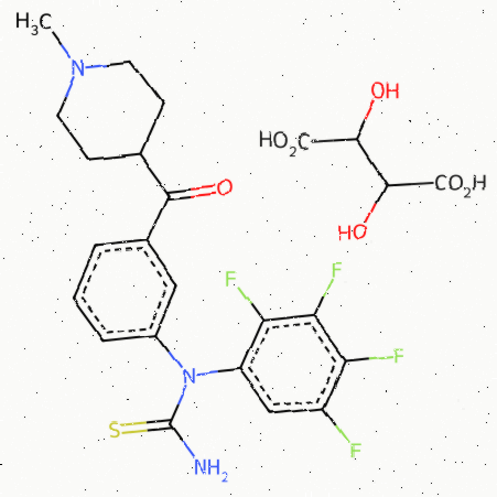 CN1CCC(C(=O)c2cccc(N(C(N)=S)c3cc(F)c(F)c(F)c3F)c2)CC1.O=C(O)C(O)C(O)C(=O)O